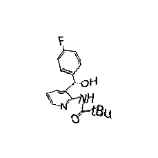 CC(C)(C)C(=O)Nc1ncccc1C(O)c1ccc(F)cc1